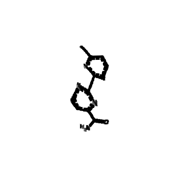 Cc1cccc(-c2nccc(C(N)=O)n2)n1